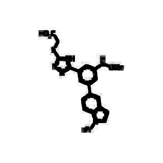 CCCn1ccc2cc(-c3cc(NOC)cc(-c4nnc(SCC(=O)O)[nH]4)c3)ccc21